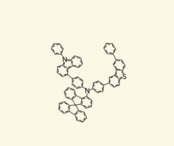 c1ccc(-c2ccc3sc4ccc(-c5ccc(N(c6ccc(-c7cccc8c7c7ccccc7n8-c7ccccc7)cc6)c6cccc7c6-c6ccccc6C76c7ccccc7-c7ccccc76)cc5)cc4c3c2)cc1